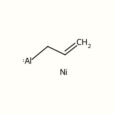 C=C[CH2][Al].[Ni]